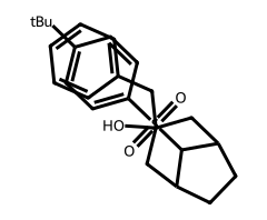 CC(C)(C)c1ccc(S(=O)(=O)C2C3CCC2CC(O)(Cc2ccccc2)C3)cc1